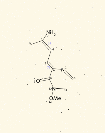 C=N/C(=C\C=C(/C)N)C(=O)N(C)OC